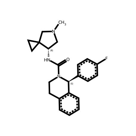 CN1C[C@H](NC(=O)N2CCc3ccccc3[C@@H]2c2ccc(F)cc2)C2(CC2)C1